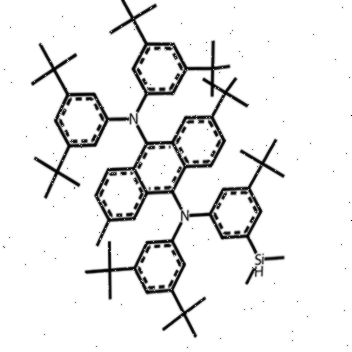 Cc1ccc2c(N(c3cc(C(C)(C)C)cc(C(C)(C)C)c3)c3cc(C(C)(C)C)cc(C(C)(C)C)c3)c3cc(C(C)(C)C)ccc3c(N(c3cc([SiH](C)C)cc(C(C)(C)C)c3)c3cc(C(C)(C)C)cc(C(C)(C)C)c3)c2c1